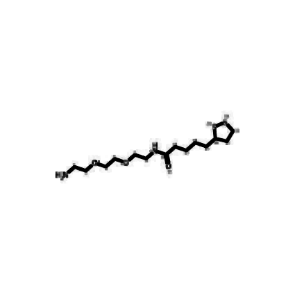 NCCOCCOCCNC(=O)CCCCC1CCSS1